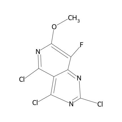 COc1nc(Cl)c2c(Cl)nc(Cl)nc2c1F